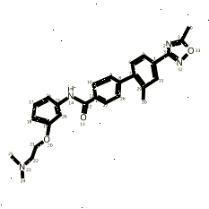 Cc1nc(-c2ccc(-c3ccc(C(=O)Nc4cccc(OCCN(C)C)c4)cc3)c(C)c2)no1